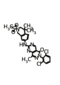 Cc1nn(-c2c(Cl)cccc2Cl)c(=O)c2cnc(Nc3ccc4c(c3)CN(S(C)(=O)=O)CC4(C)C)nc12